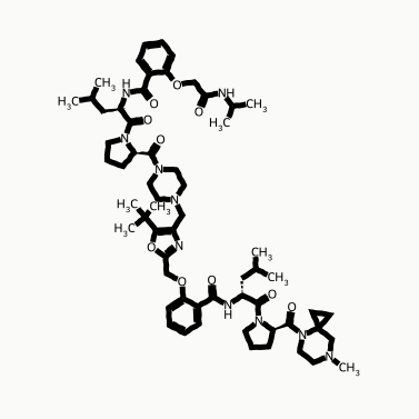 CC(C)C[C@@H](NC(=O)c1ccccc1OCC(=O)NC(C)C)C(=O)N1CCC[C@@H]1C(=O)N1CCN(Cc2nc(COc3ccccc3C(=O)N[C@H](CC(C)C)C(=O)N3CCC[C@@H]3C(=O)N3CCN(C)CC34CC4)oc2C(C)(C)C)CC1